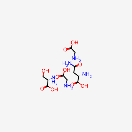 NC(=O)C[C@H](N)C(=O)O.NCC(=O)O.NCC(=O)O.N[C@@H](CO)C(=O)O